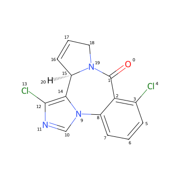 O=C1c2c(Cl)cccc2-n2cnc(Cl)c2[C@H]2C=CCN12